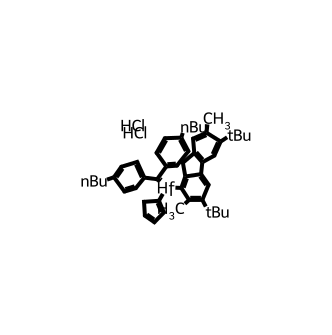 CCCCc1ccc([C](c2ccc(CCCC)cc2)=[Hf]([C]2=CC=CC2)[c]2c(C)c(C(C)(C)C)cc3c2Cc2cc(C)c(C(C)(C)C)cc2-3)cc1.Cl.Cl